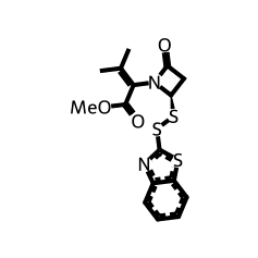 COC(=O)C(=C(C)C)N1C(=O)C[C@H]1SSc1nc2ccccc2s1